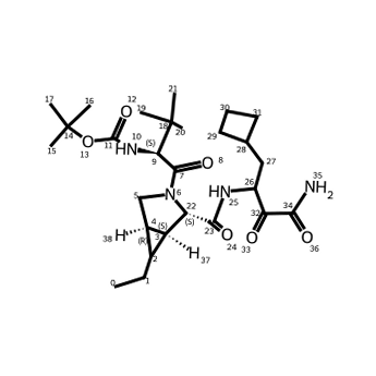 CCC1[C@H]2[C@@H]1CN(C(=O)[C@@H](NC(=O)OC(C)(C)C)C(C)(C)C)[C@@H]2C(=O)NC(CC1CCC1)C(=O)C(N)=O